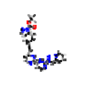 CC(C)(C)OC(=O)n1ncc2cc(C#Cc3ccnc(-c4ccnc(NCc5ccccn5)n4)n3)ccc21